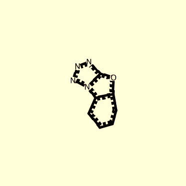 c1ccc2c(c1)oc1nnnn12